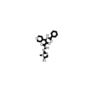 CC[C@@H]1CSC(=NNC(=O)C(=O)C(NC(=O)C2CCCCC2)C2CCOCC2)N1C